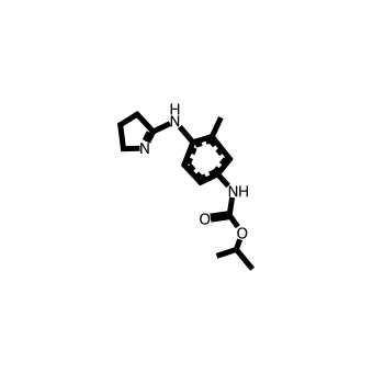 Cc1cc(NC(=O)OC(C)C)ccc1NC1=NCCC1